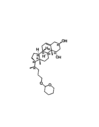 C[C@H](CCCOC1CCCCO1)[C@H]1CC[C@H]2[C@@H]3CC=C4C[C@@H](O)C[C@H](O)[C@]4(C)[C@H]3CC[C@]12C